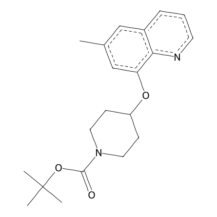 Cc1cc(OC2CCN(C(=O)OC(C)(C)C)CC2)c2ncccc2c1